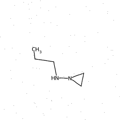 CCCNN1CC1